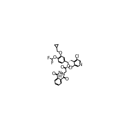 O=C(Cn1[nH]c(=O)c2ccccc2c1=O)O[C@@H](Cc1c(Cl)cncc1Cl)c1ccc(OC(F)F)c(OCC2CC2)c1